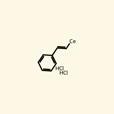 Cl.Cl.[Ce][CH]=Cc1ccccc1